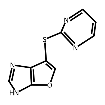 c1cnc(Sc2coc3[nH]cnc23)nc1